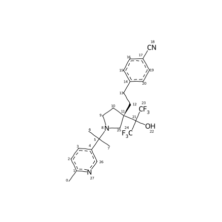 Cc1ccc(C(C)(C)N2CC[C@](CCc3ccc(C#N)cc3)(C(O)(C(F)(F)F)C(F)(F)F)C2)cn1